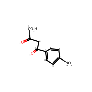 O=C(O)C(=O)CC(=O)c1ccc([N+](=O)[O-])cc1